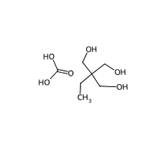 CCC(CO)(CO)CO.O=C(O)O